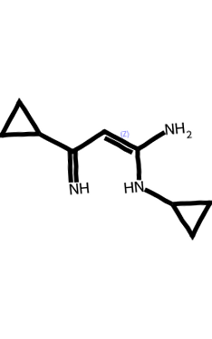 N=C(/C=C(/N)NC1CC1)C1CC1